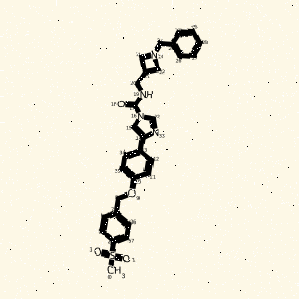 CS(=O)(=O)c1ccc(COc2ccc(-c3cn(C(=O)NCC4CN(Cc5ccccc5)C4)cn3)cc2)cc1